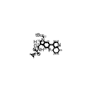 C[C@@H](NS(=O)(=O)C1CC1)c1cn(CC(C)(C)C)c2cc(-c3ccnc4c3CCCC4)c(F)cc12